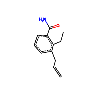 C=CCc1cccc(C(N)=O)c1CC